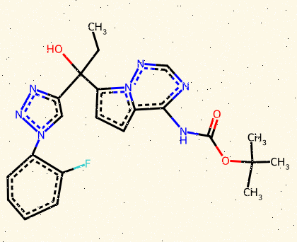 CCC(O)(c1cn(-c2ccccc2F)nn1)c1ccc2c(NC(=O)OC(C)(C)C)ncnn12